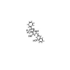 C=C(/N=C1/N[C@@H](CN(CCO)Cc2ccccc2)CC(O)N1C)C1=CCC=CC=C1